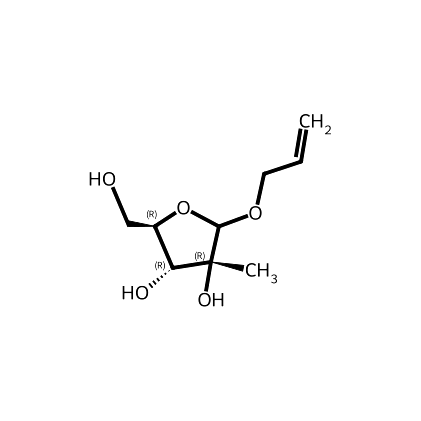 C=CCOC1O[C@H](CO)[C@@H](O)[C@@]1(C)O